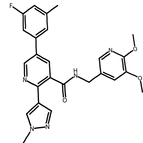 COc1cc(CNC(=O)c2cc(-c3cc(C)cc(F)c3)cnc2-c2cnn(C)c2)cnc1OC